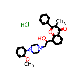 COc1ccccc1N1CCN(CC(O)c2cccc3c(=O)c(C)c(-c4ccccc4)oc23)CC1.Cl